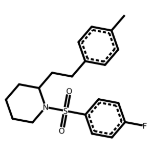 Cc1ccc(CCC2CCCCN2S(=O)(=O)c2ccc(F)cc2)cc1